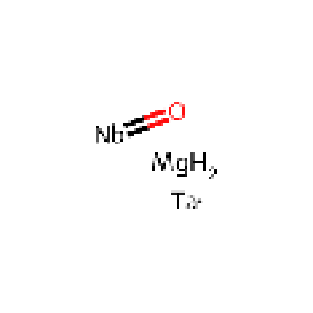 [MgH2].[O]=[Nb].[Ta]